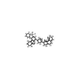 CC1(C)c2ccccc2-c2c1cc(-c1ccc(-c3ccc4ccc5cccnc5c4n3)nc1)c1oc3ccccc3c21